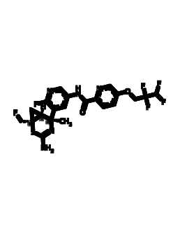 C[C@@]1(c2cc(NC(=O)c3ccc(OCC(F)(F)C(F)F)cn3)cnc2F)N=C(N)S[C@@]2(CF)C[C@H]21